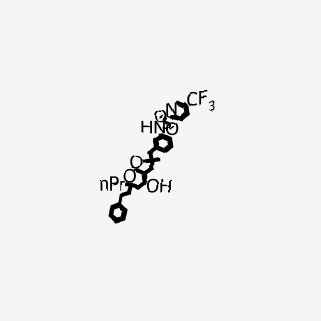 CCCC1(CCc2ccccc2)CC(O)=C(CC(C)(C)Cc2cccc(NS(=O)(=O)c3ccc(C(F)(F)F)cn3)c2)C(=O)O1